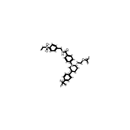 CCS(=O)(=O)c1ccc(CNC(=O)c2ccc(N3CC(c4ccc(C(F)(F)F)cc4)CC[C@H]3CCOC(F)F)cc2)cc1